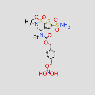 CCN(C(=O)OCc1ccc(CON(O)O)cc1)[C@H]1CN(C)S(=O)(=O)c2sc(S(N)(=O)=O)cc21